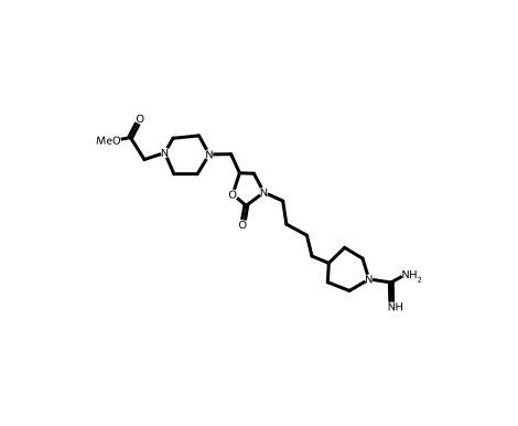 COC(=O)CN1CCN(CC2CN(CCCCC3CCN(C(=N)N)CC3)C(=O)O2)CC1